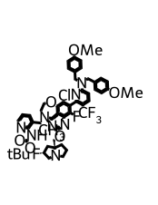 COc1ccc(CN(Cc2ccc(OC)cc2)c2ccc(C(F)(F)F)c(-c3c(Cl)c4c5c(nc(OC[C@@]67CCCN6C[C@H](F)C7)nc5c3F)N([C@H](C)c3cccnc3NC(=O)OC(C)(C)C)CCO4)n2)cc1